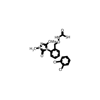 COc1nn(C)c(=O)n1-c1ccccc1CONC(=O)S.Clc1ccccc1Cl